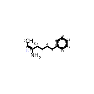 C/C=C(/N)CCCCc1ccccc1